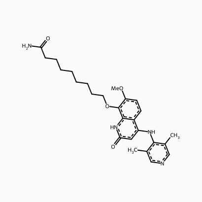 COc1ccc2c(Nc3c(C)cncc3C)cc(=O)[nH]c2c1OCCCCCCCCC(N)=O